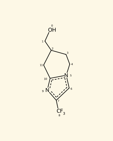 OCC1CCn2cc(C(F)(F)F)nc2C1